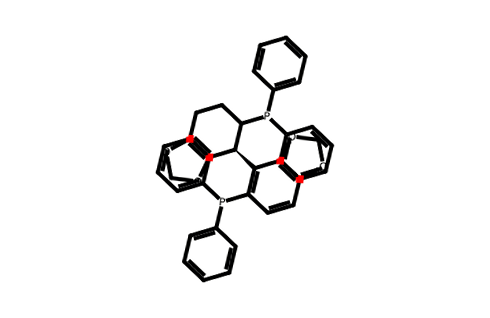 c1ccc(P(c2ccccc2)c2ccc3c(c2[C@H]2C4=C(CCC2P(c2ccccc2)c2ccccc2)OCO4)OCO3)cc1